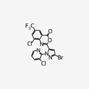 O=c1oc(-c2cc(Br)nn2-c2ncccc2Cl)nc2c(Cl)cc(C(F)(F)F)cc12